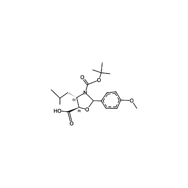 COc1ccc(C2O[C@@H](C(=O)O)[C@H](CC(C)C)N2C(=O)OC(C)(C)C)cc1